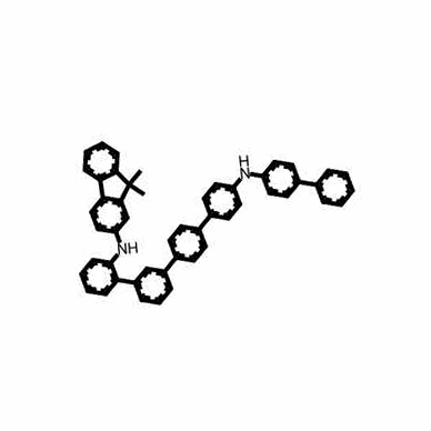 CC1(C)c2ccccc2-c2ccc(Nc3ccccc3-c3cccc(-c4ccc(-c5ccc(Nc6ccc(-c7ccccc7)cc6)cc5)cc4)c3)cc21